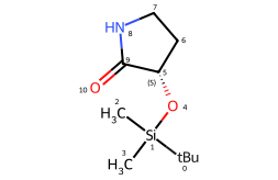 CC(C)(C)[Si](C)(C)O[C@H]1CCNC1=O